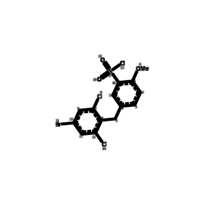 COc1ccc(Cc2c(Cl)cc(Br)cc2Cl)cc1S(=O)(=O)Cl